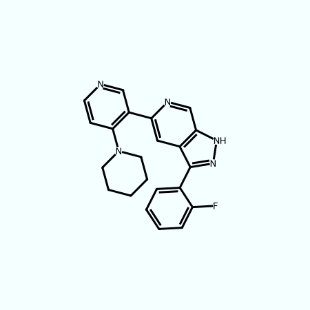 Fc1ccccc1-c1n[nH]c2cnc(-c3cnccc3N3CCCCC3)cc12